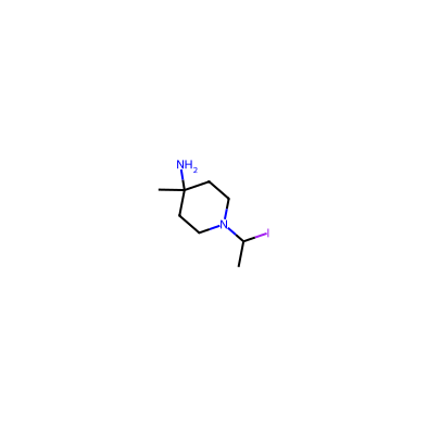 CC(I)N1CCC(C)(N)CC1